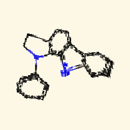 c1ccc(N2CCc3ccc4c([nH]c5ccccc54)c32)cc1